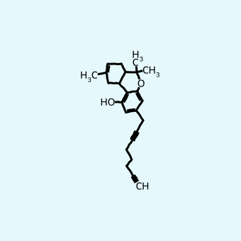 C#CCCCC#CCc1cc(O)c2c(c1)OC(C)(C)C1CC=C(C)CC21